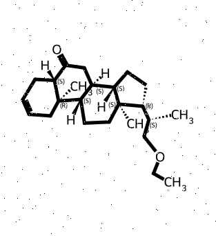 CCOC[C@@H](C)[C@H]1CC[C@H]2[C@@H]3CC(=O)[C@H]4CC=CC[C@]4(C)[C@H]3CC[C@]12C